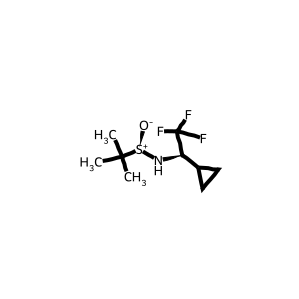 CC(C)(C)[S@@+]([O-])N[C@H](C1CC1)C(F)(F)F